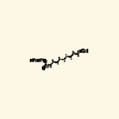 CCCCCCCCC=CCCCCCCCC(=O)OCCCCC